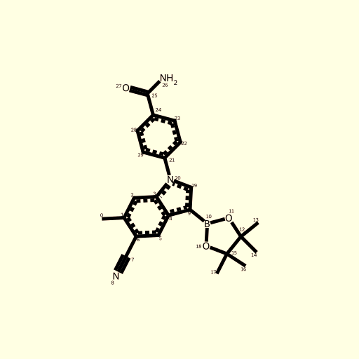 Cc1cc2c(cc1C#N)c(B1OC(C)(C)C(C)(C)O1)cn2-c1ccc(C(N)=O)cc1